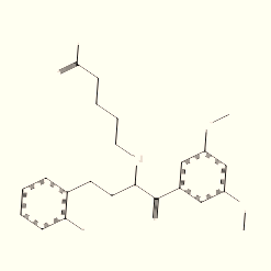 COc1cc(OC)cc(C(=O)C(CCc2ccccc2F)NCCCCC(=O)O)c1